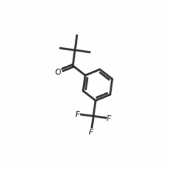 CC(C)(C)C(=O)c1cccc(C(F)(F)F)c1